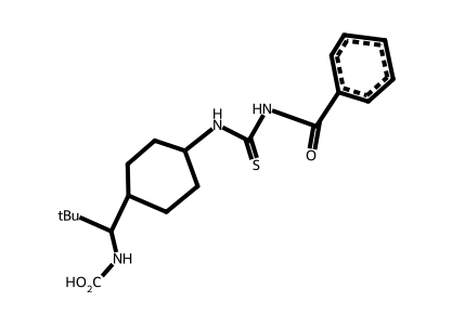 CC(C)(C)C(NC(=O)O)C1CCC(NC(=S)NC(=O)c2ccccc2)CC1